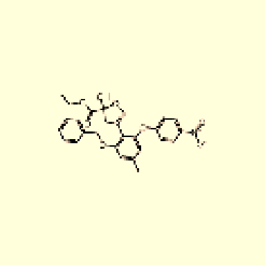 CCOC(=O)C1(O)CC(c2c(OCc3ccccc3)cc(C)cc2Oc2ccc([N+](=O)[O-])cc2)=NO1